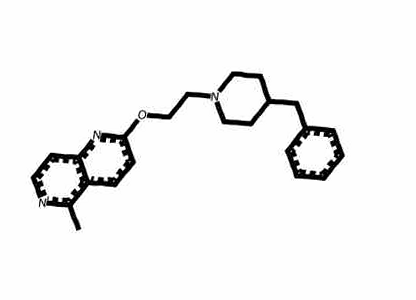 Cc1nccc2nc(OCCN3CCC(Cc4ccccc4)CC3)ccc12